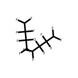 FC(F)C(F)(F)C(F)(OC(F)(C(F)F)C(F)(F)C(F)F)C(F)F